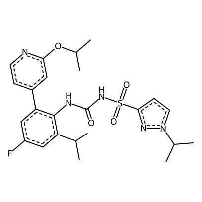 CC(C)Oc1cc(-c2cc(F)cc(C(C)C)c2NC(=O)NS(=O)(=O)c2ccn(C(C)C)n2)ccn1